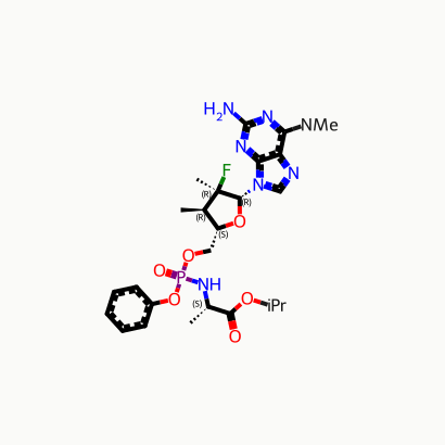 CNc1nc(N)nc2c1ncn2[C@@H]1O[C@H](COP(=O)(N[C@@H](C)C(=O)OC(C)C)Oc2ccccc2)[C@@H](C)[C@@]1(C)F